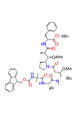 CC[C@H](C)[C@@H]([C@@H](CC(=O)N1CCC[C@H]1[C@H](OC)[C@@H](C)C(=O)N[C@@H](Cc1ccccc1)C(=O)OC(C)(C)C)OC)N(C)C(=O)[C@@H](NC(=O)C(C)(C)NC(=O)OCC1c2ccccc2-c2ccccc21)C(C)C